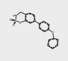 O=S1(=O)NCc2ccc(-c3ccc(Oc4ccccc4)cc3)cc2O1